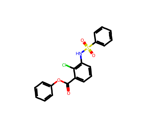 O=C(Oc1ccccc1)c1cccc(NS(=O)(=O)c2ccccc2)c1Cl